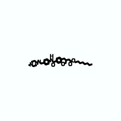 CCCCCCCCOC(=O)CC1COc2cc(C(=O)Nc3ccc(/C=N/N4CCN(C)CC4)cc3)ccc2C1